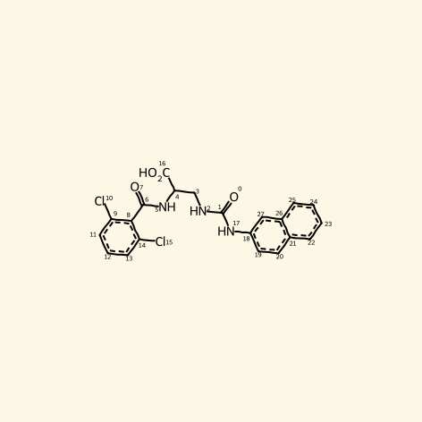 O=C(NCC(NC(=O)c1c(Cl)cccc1Cl)C(=O)O)Nc1ccc2ccccc2c1